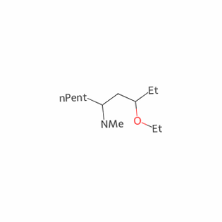 CCCCCC(CC(CC)OCC)NC